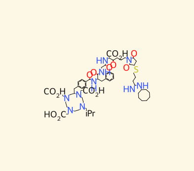 CC(C)CN1CCN(CC(=O)O)CCN(CC(=O)O)CC(Cc2ccc(C(=O)NC(Cc3ccccc3)C(=O)NCC(=O)NC(C(=O)O)C(=O)CCCN3C(=O)CC(SCCCC(=N)NC4CCCCCCC4)C3=O)cc2)N(CC(=O)O)CC1